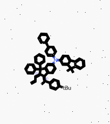 C=C/C=C1\C(=C(/C)c2ccc(C(C)(C)C)cc2)c2ccc(N(c3ccc(-c4ccccc4)cc3)c3ccc4c(c3)C(C)(C)c3ccccc3-4)cc2C1(c1ccccc1)c1ccccc1